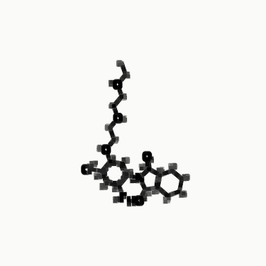 CCOCCOCCOc1cc(N2C(=O)C3=C(CCCC3)C2O)c(F)cc1Cl